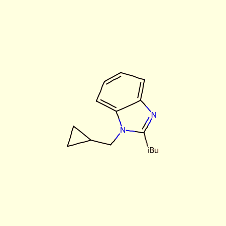 CCC(C)c1nc2ccccc2n1CC1CC1